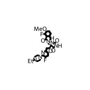 CCN1CCN(c2nc3cc([C@]4(CN5Cc6ccc(OC)c(F)c6C5=O)NC(=O)NC4=O)oc3cc2F)CC1